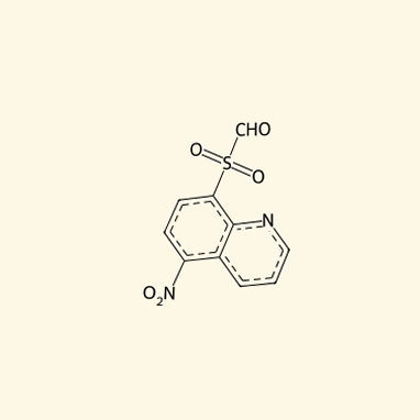 O=CS(=O)(=O)c1ccc([N+](=O)[O-])c2cccnc12